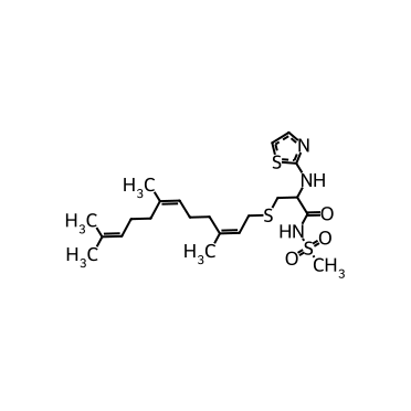 CC(C)=CCCC(C)=CCCC(C)=CCSCC(Nc1nccs1)C(=O)NS(C)(=O)=O